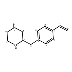 C=Cc1ccc(CC2CNCCO2)cc1